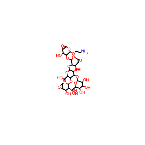 NCCOC1OC2OC2C(O)C1OC1OC2OC2C(O)C1OC1OC(C(=O)O)C(OC2OC3OC3C(O)C2O)C(OC2OC(CO)C(O)C(O)C2O)C1O